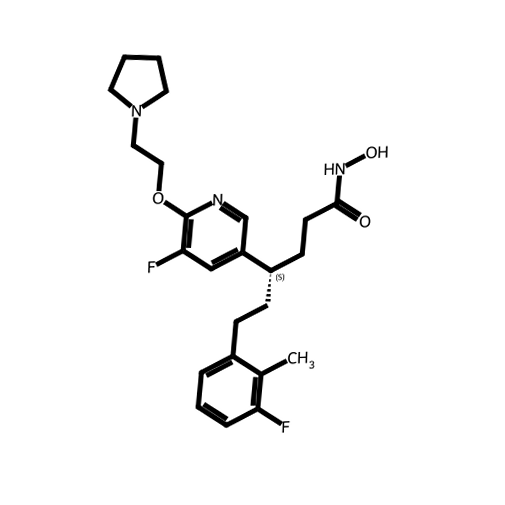 Cc1c(F)cccc1CC[C@@H](CCC(=O)NO)c1cnc(OCCN2CCCC2)c(F)c1